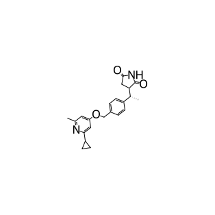 Cc1cc(OCc2ccc([C@@H](C)C3CC(=O)NC3=O)cc2)cc(C2CC2)n1